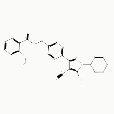 COc1ccccc1C(=O)NCc1ccc(-c2nn(C3CCCCC3)c(N)c2C#N)cc1